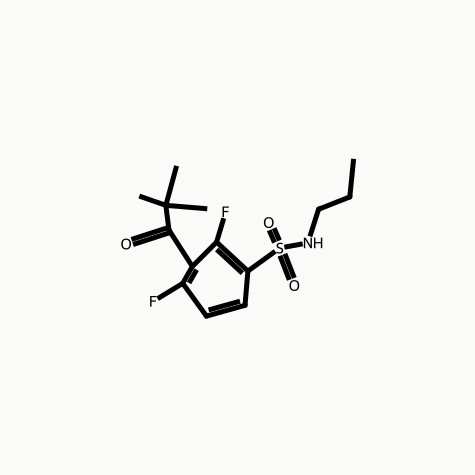 CCCNS(=O)(=O)c1ccc(F)c(C(=O)C(C)(C)C)c1F